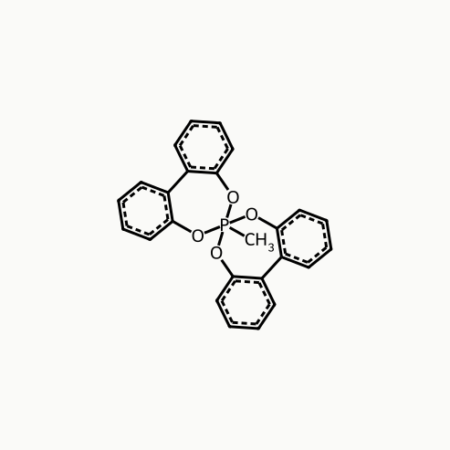 CP12(Oc3ccccc3-c3ccccc3O1)Oc1ccccc1-c1ccccc1O2